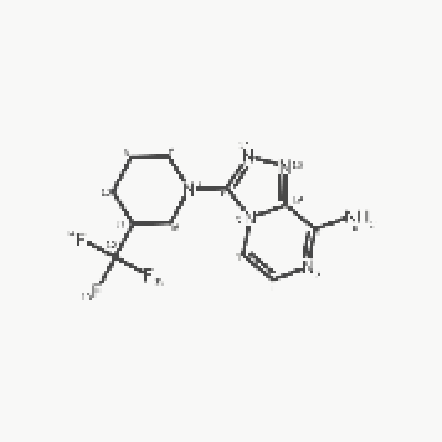 Nc1nccn2c(N3CCCC(C(F)(F)F)C3)nnc12